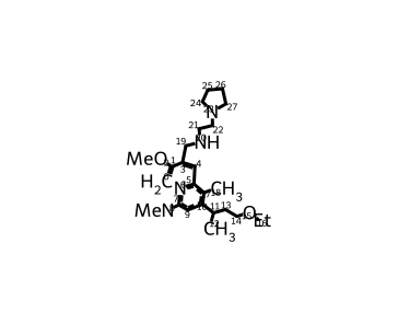 C=C(OC)/C(=C\c1nc(NC)cc(C(C)CCOCC)c1C)CNCCN1CCCC1